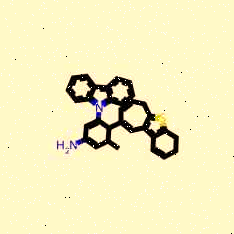 CC1C=C(N)C=C(n2c3ccccc3c3ccccc32)C1C1=Cc2c(sc3c2C=CCC3)CC=C1